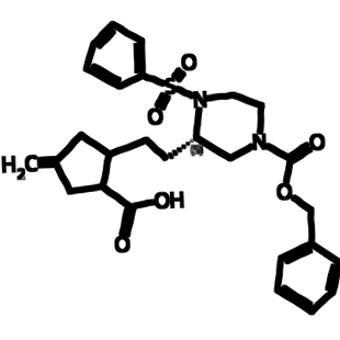 C=C1CC(CC[C@H]2CN(C(=O)OCc3ccccc3)CCN2S(=O)(=O)c2ccccc2)C(C(=O)O)C1